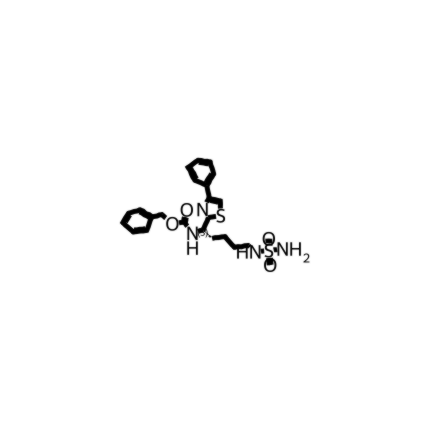 NS(=O)(=O)NCCCC[C@H](NC(=O)OCc1ccccc1)c1nc(-c2ccccc2)cs1